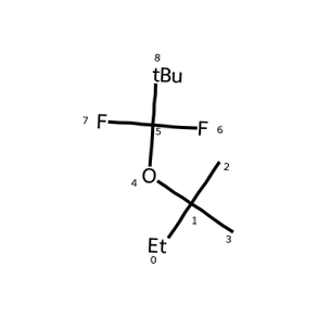 CCC(C)(C)OC(F)(F)C(C)(C)C